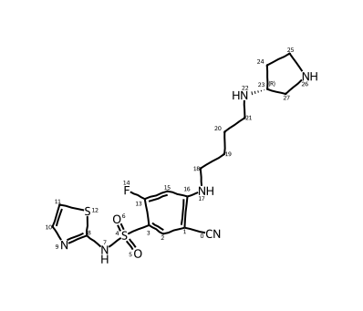 N#Cc1cc(S(=O)(=O)Nc2nccs2)c(F)cc1NCCCCN[C@@H]1CCNC1